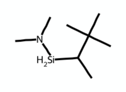 CC([SiH2]N(C)C)C(C)(C)C